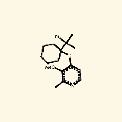 CCC(C)(C)C1(Oc2ccnc(C)c2OC)CCCCC1